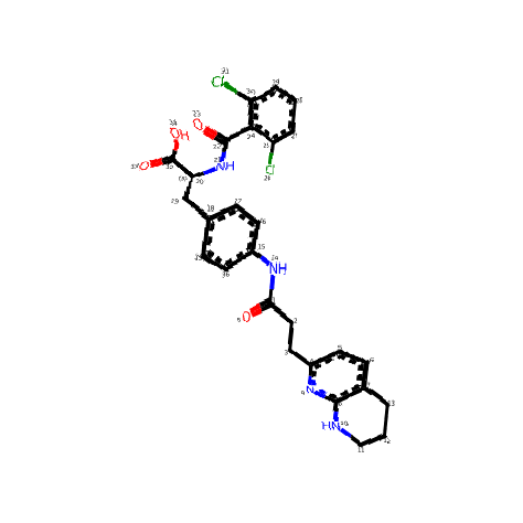 O=C(CCc1ccc2c(n1)NCCC2)Nc1ccc(C[C@H](NC(=O)c2c(Cl)cccc2Cl)C(=O)O)cc1